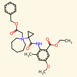 CCOC(=O)c1cc(OC)cc(C)c1NC(=O)C1([N+]2(CC(=O)OCc3ccccc3)CCCCCC2)CC1